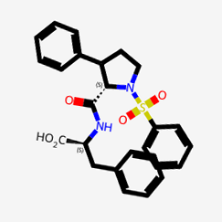 O=C(O)[C@H](Cc1ccccc1)NC(=O)[C@@H]1C(c2ccccc2)CCN1S(=O)(=O)c1ccccc1